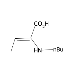 C/C=C(\NCCCC)C(=O)O